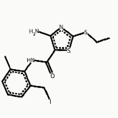 CCSc1nc(N)c(C(=O)Nc2c(C)cccc2CI)s1